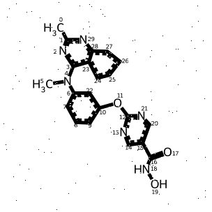 Cc1nc(N(C)c2cccc(Oc3ncc(C(=O)NO)cn3)c2)c2ccccc2n1